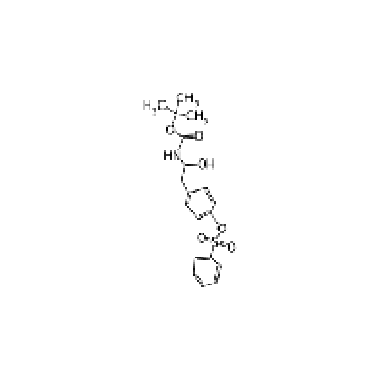 CC(C)(C)OC(=O)NC(O)Cc1ccc(OS(=O)(=O)c2ccccc2)cc1